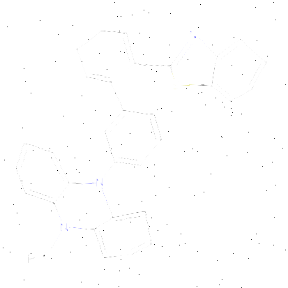 CN1c2ccccc2N(c2cccc(-c3ccccc3-c3nc4ccccc4s3)c2)c2ccccc21